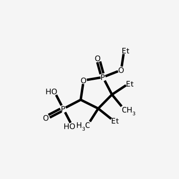 CCOP1(=O)OC(P(=O)(O)O)C(C)(CC)C1(C)CC